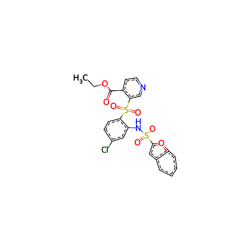 CCOC(=O)c1ccncc1S(=O)(=O)c1ccc(Cl)cc1NS(=O)(=O)c1cc2ccccc2o1